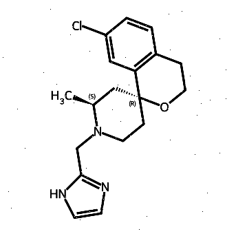 C[C@H]1C[C@@]2(CCN1Cc1ncc[nH]1)OCCc1ccc(Cl)cc12